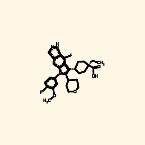 CC[C@]1(C(=O)O)CC[C@H](c2c(C3CCOCC3)n(-c3ccc(F)c(OC)c3)c3cc4cn[nH]c4c(F)c32)CC1